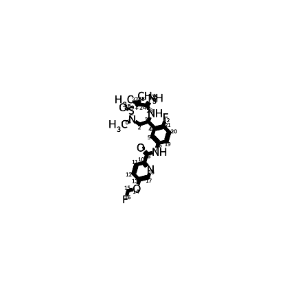 CN1CC(c2cc(NC(=O)c3ccc(OCF)cn3)ccc2F)NC(=N)C(C)(C)[S+]1[O-]